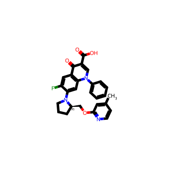 Cc1ccnc(OC[C@H]2CCCN2c2cc3c(cc2F)c(=O)c(C(=O)O)cn3-c2ccccc2)c1